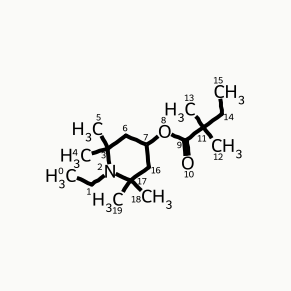 CCN1C(C)(C)CC(OC(=O)C(C)(C)CC)CC1(C)C